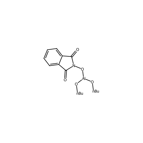 CCCC[O][Al]([O]CCCC)[O]N1C(=O)c2ccccc2C1=O